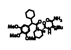 CC[C@H](C)[C@H](NC(=O)[C@@H]1CCCCN1C(=O)C(c1cc(OC)c(OC)c(OC)c1)C1CCCCC1)C(N)=O